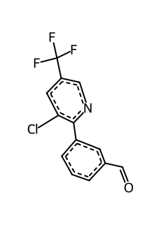 O=Cc1cccc(-c2ncc(C(F)(F)F)cc2Cl)c1